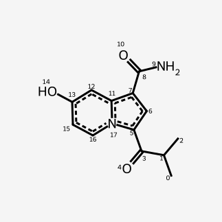 CC(C)C(=O)c1cc(C(N)=O)c2cc(O)ccn12